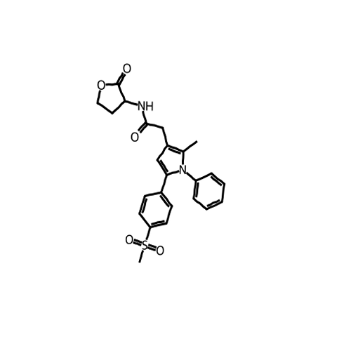 Cc1c(CC(=O)NC2CCOC2=O)cc(-c2ccc(S(C)(=O)=O)cc2)n1-c1ccccc1